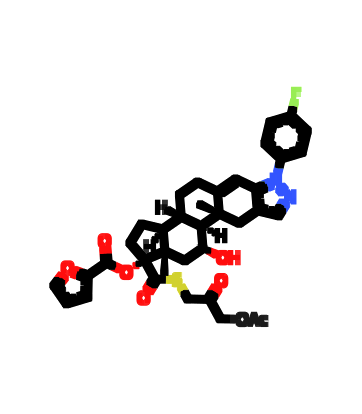 CC(=O)OCC(=O)CSC(=O)[C@@]1(OC(=O)c2ccco2)CC[C@H]2[C@@H]3CCC4=Cc5c(cnn5-c5ccc(F)cc5)C[C@]4(C)[C@H]3[C@@H](O)C[C@@]21C